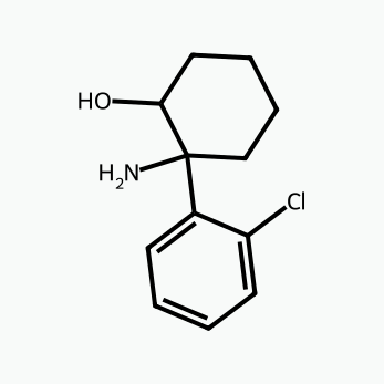 NC1(c2ccccc2Cl)CCCCC1O